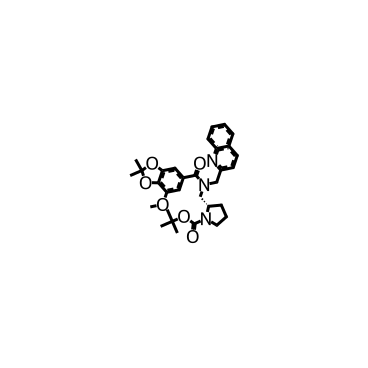 COc1cc(C(=O)N(Cc2ccc3ccccc3n2)C[C@@H]2CCCN2C(=O)OC(C)(C)C)cc2c1OC(C)(C)O2